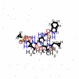 C=CC1CC1(NC(=O)[C@@H]1C[C@@H](NC(=O)OC2NCc3ccccc32)CN1C(=O)[C@@H](NC(=O)CC1CC1)C(C)(C)C)C(=O)NS(=O)(=O)C1CC1